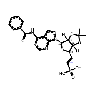 CC1(C)O[C@@H]2[C@H](O1)[C@@H](/C=C/P(=O)(O)O)O[C@H]2n1ncc2c(NC(=O)c3ccccc3)ncnc21